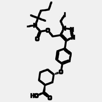 CCCC(C)(C)N(C)C(=O)OCc1c(-c2ccc(O[C@H]3CCC[C@H](C(=O)O)C3)cc2)nnn1CI